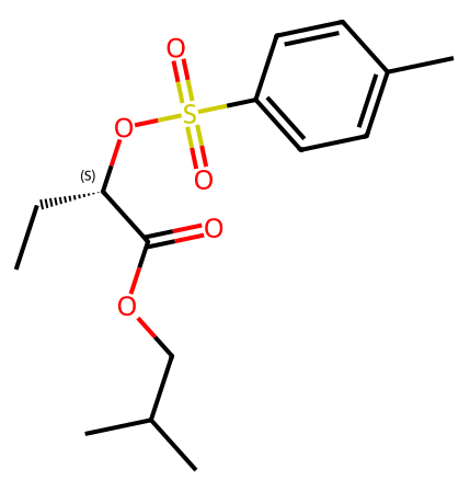 CC[C@H](OS(=O)(=O)c1ccc(C)cc1)C(=O)OCC(C)C